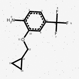 Nc1ccc(C(F)(F)F)cc1OCC1CC1